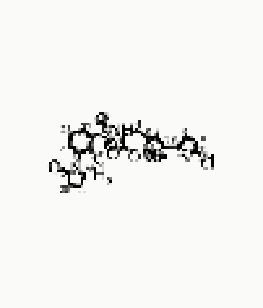 COC(=O)[C@H](Cc1cc(-c2ccc(Cl)s2)on1)NS(=O)(=O)c1cccc(N2CCCC2=O)c1C